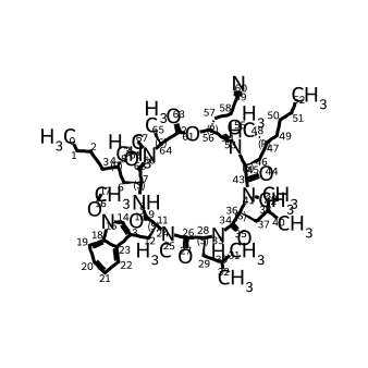 CCCC[C@@H](C)C[C@@H]1NC(=O)[C@H](Cc2cn(OC)c3ccccc23)N(C)C(=O)[C@H](CC(C)C)NC(=O)[C@H](CC(C)C)N(C)C(=O)[C@H](C[C@H](C)CCCC)NC(=O)[C@@H](CCC#N)OC(=O)[C@H](C)N(C)C1=O